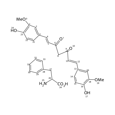 COc1cc(/C=C/C(=O)CC(=O)/C=C/c2ccc(O)c(OC)c2)ccc1O.NC(Cc1ccccc1)C(=O)O